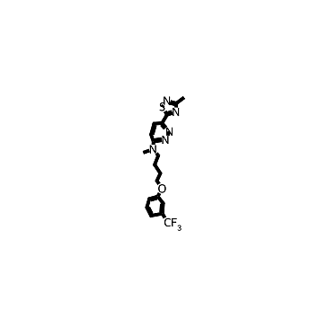 Cc1nsc(-c2ccc(N(C)CCCCOc3cccc(C(F)(F)F)c3)nn2)n1